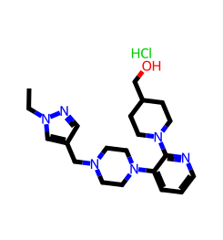 CCn1cc(CN2CCN(c3cccnc3N3CCC(CO)CC3)CC2)cn1.Cl